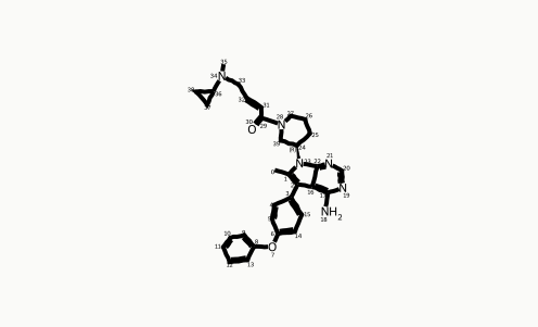 Cc1c(-c2ccc(Oc3ccccc3)cc2)c2c(N)ncnc2n1[C@@H]1CCCN(C(=O)C=CCN(C)C2CC2)C1